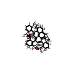 C[Si](C)(C)c1cccc([Si](C)(C)C)c1-c1cc2c(-c3c([Si](C)(C)C)cccc3[Si](C)(C)C)cc(-c3c([Si](C)(C)C)cccc3[Si](C)(C)C)c3ccc4cccc1c4c32